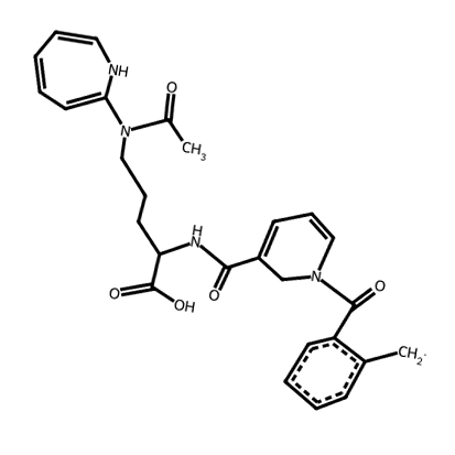 [CH2]c1ccccc1C(=O)N1C=CC=C(C(=O)NC(CCCN(C(C)=O)C2=CC=CC=CN2)C(=O)O)C1